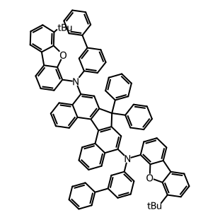 CC(C)(C)c1cccc2c1oc1c(N(c3cccc(-c4ccccc4)c3)c3cc4c(c5ccccc35)-c3c(cc(N(c5cccc(-c6ccccc6)c5)c5cccc6c5oc5c(C(C)(C)C)cccc56)c5ccccc35)C4(c3ccccc3)c3ccccc3)cccc12